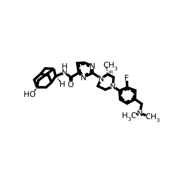 C[C@@H]1CN(c2ccc(CN(C)C)cc2F)CCN1c1nccc(C(=O)N[C@H]2C3CC4CC2C[C@](O)(C4)C3)n1